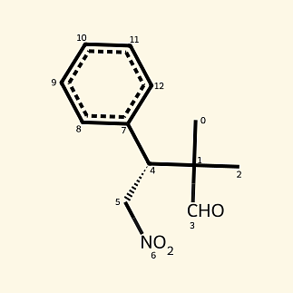 CC(C)(C=O)[C@H](C[N+](=O)[O-])c1ccccc1